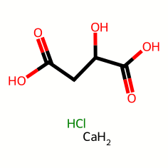 Cl.O=C(O)CC(O)C(=O)O.[CaH2]